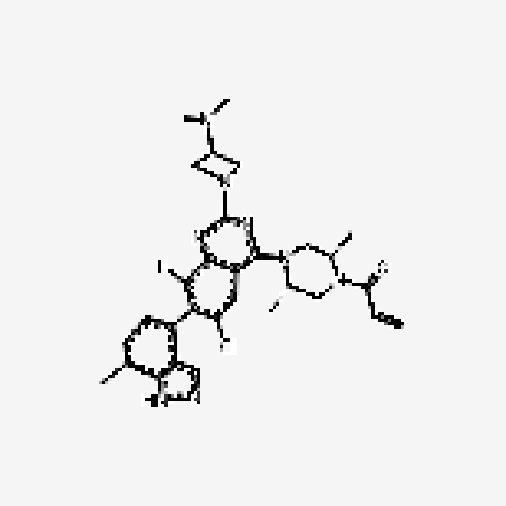 C=CC(=O)N1C[C@H](C)N(c2nc(N3CC(N(C)C)C3)nc3c(F)c(-c4ccc(C)c5[nH]ncc45)c(Cl)cc23)C[C@H]1C